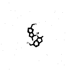 CC1=C([SiH](C)C2=C(C)[CH]c3ccc(CC(C)C)cc32)c2cc(CC(C)C)ccc2[CH]1